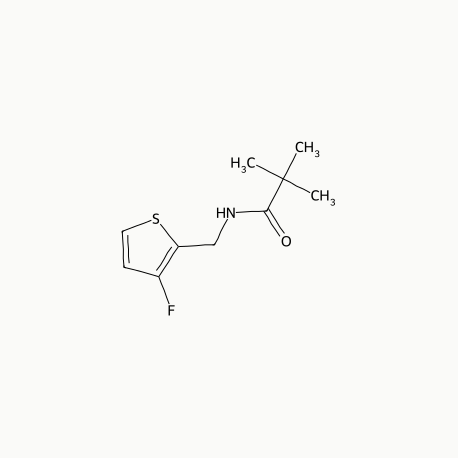 CC(C)(C)C(=O)NCc1sccc1F